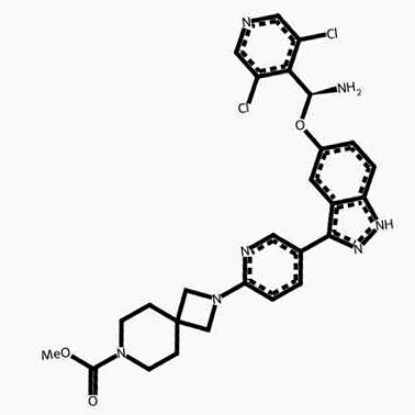 COC(=O)N1CCC2(CC1)CN(c1ccc(-c3n[nH]c4ccc(O[C@H](N)c5c(Cl)cncc5Cl)cc34)cn1)C2